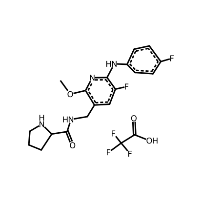 COc1nc(Nc2ccc(F)cc2)c(F)cc1CNC(=O)C1CCCN1.O=C(O)C(F)(F)F